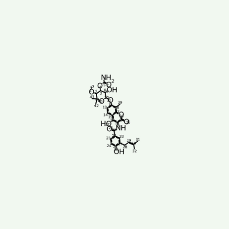 COC1[C@@H](OC(N)=O)[C@@H](O)C(Oc2ccc3c(O)c(NC(=O)c4ccc(O)c(CC=C(C)C)c4)c(=O)oc3c2C)OC1(C)C